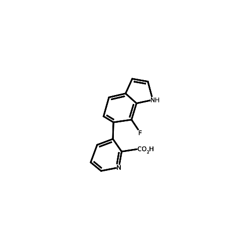 O=C(O)c1ncccc1-c1ccc2cc[nH]c2c1F